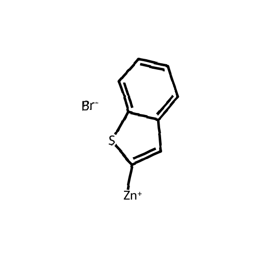 [Br-].[Zn+][c]1cc2ccccc2s1